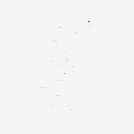 COc1nc(NC2CCC(NC(C)=O)CC2)nn2ccc(-c3cc(F)c4nc(C)n(C(C)C)c4c3)c12